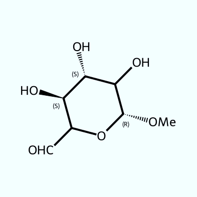 CO[C@@H]1OC(C=O)[C@@H](O)[C@H](O)C1O